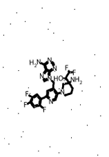 Nc1ncnc2c1ncn2Cc1cc(-c2cc(F)c(F)cc2F)ncc1N1CCCC(N)([C@@H](O)C(F)F)C1